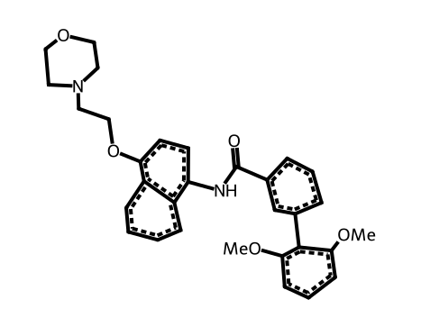 COc1cccc(OC)c1-c1cccc(C(=O)Nc2ccc(OCCN3CCOCC3)c3ccccc23)c1